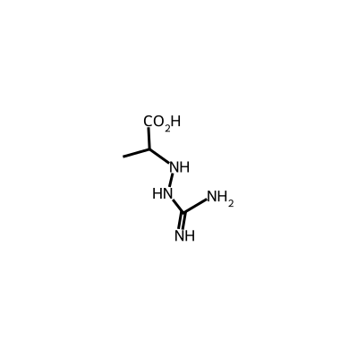 CC(NNC(=N)N)C(=O)O